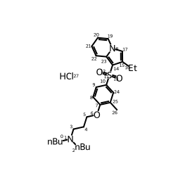 CCCCN(CCCC)CCCOc1ccc(S(=O)(=O)c2c(CC)cn3ccccc23)cc1C.Cl